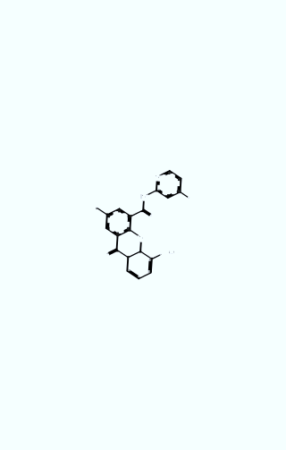 COC1=CC=CC2C(=O)c3cc(Cl)cc(C(=O)Nc4cc(Cl)ccn4)c3NC12